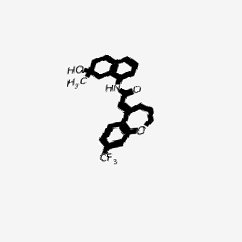 CC1(O)CCc2cccc(NC(=O)/C=C3\CCCOc4cc(C(F)(F)F)ccc43)c2C1